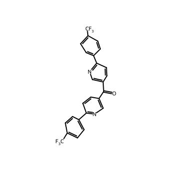 O=C(c1ccc(-c2ccc(C(F)(F)F)cc2)nc1)c1ccc(-c2ccc(C(F)(F)F)cc2)nc1